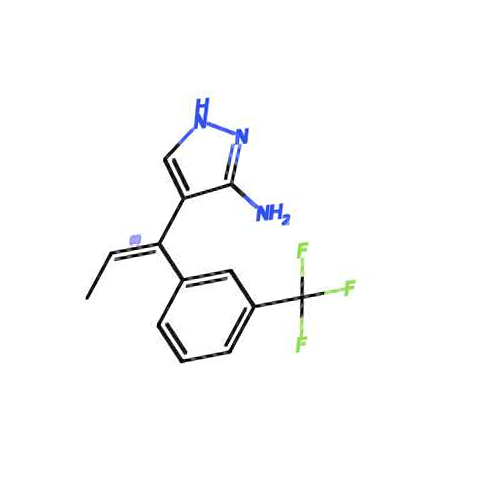 C/C=C(\c1cccc(C(F)(F)F)c1)c1c[nH]nc1N